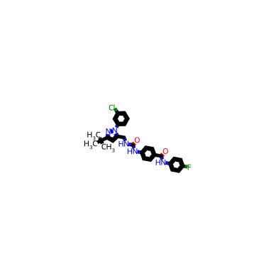 CC(C)(C)c1cc(CNC(=O)Nc2ccc(C(=O)Nc3ccc(F)cc3)cc2)n(-c2cccc(Cl)c2)n1